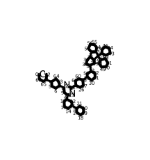 c1ccc(-c2ccc(-c3cc(-c4cccc(-c5ccccc5)c4)nc(-c4ccc(-c5cccc(-c6ccc7c(c6)C(c6ccccc6)(c6ccccc6)c6ccccc6-7)c5)cc4)n3)cc2)cc1